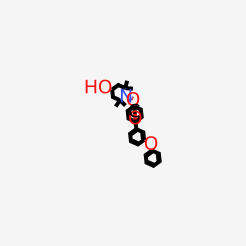 CC1(C)CC(O)CC(C)(C)N1OC12CCC(c3cccc(Oc4ccccc4)c3)(CC1)OC2